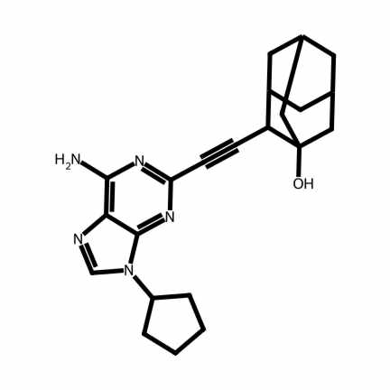 Nc1nc(C#CC2C3CC4CC(C3)CC2(O)C4)nc2c1ncn2C1CCCC1